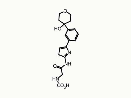 O=C(O)NCC(=O)Nc1nc(-c2cccc(C3(O)CCOCC3)c2)cs1